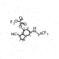 N#Cc1cnn2cc(NCC(F)(F)F)cc(OS(=O)(=O)C(F)(F)F)c12